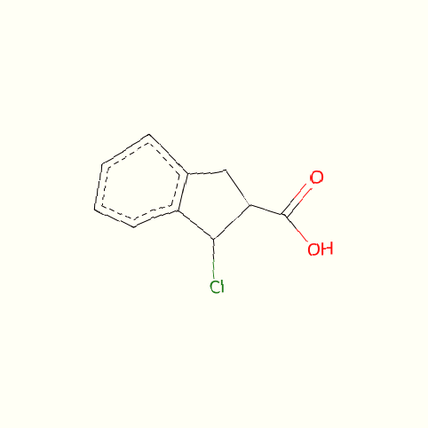 O=C(O)C1Cc2ccccc2C1Cl